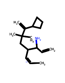 C=CC(N)C(/C=C\C)CC(C)(C)C(=C)C1CCC1